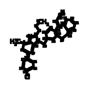 CCCc1nc2c(C)cc(-c3ccc(Cl)cc3)cc2n1Cc1ccc2c(c1)CCc1ccccc1C2=CC#N